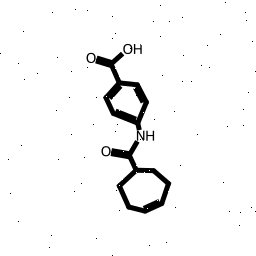 O=C(O)c1ccc(NC(=O)C2CCC=CCC2)cc1